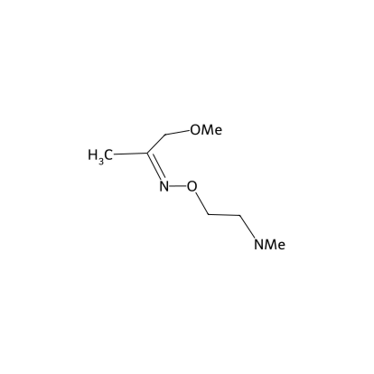 CNCCO/N=C(/C)COC